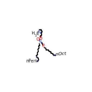 CCCCC/C=C\C/C=C\CCCCCCCCN(CCOCCCCCCCC/C=C\CCCCCCCC)C(=O)OCCC1CCCN1C